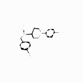 CN(Cc1ccc(F)cc1)C1CCN(c2ccc(N)cc2)CC1